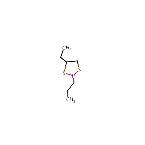 CCCP1SCC(CC)S1